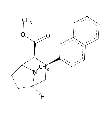 COC(=O)[C@@H]1C2CC[C@H](C[C@@H]1c1ccc3ccccc3c1)N2C